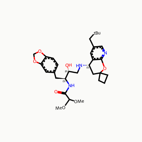 COC(OC)C(=O)N[C@@H](Cc1ccc2c(c1)OCO2)[C@H](O)CN[C@H]1CC2(CCC2)Oc2ncc(CC(C)(C)C)cc21